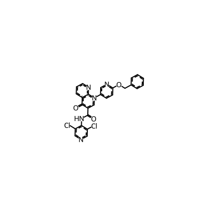 O=C(Nc1c(Cl)cncc1Cl)c1cn(-c2ccc(OCc3ccccc3)nc2)c2ncccc2c1=O